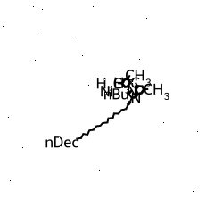 CCCCCCCCCCCCCCCCCCCCCCCCCCC#CC(=Nc1cc(C)cc(C)c1)C(CCCC)=Nc1cc(C)cc(C)c1.[Ni]